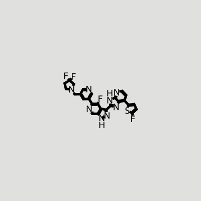 Fc1ccc(-c2ccnc3[nH]c(-c4n[nH]c5cnc(-c6cncc(CN7CCC(F)(F)C7)c6)c(F)c45)nc23)s1